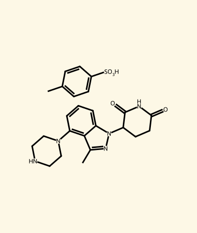 Cc1ccc(S(=O)(=O)O)cc1.Cc1nn(C2CCC(=O)NC2=O)c2cccc(N3CCNCC3)c12